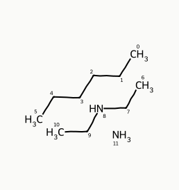 CCCCCC.CCNCC.N